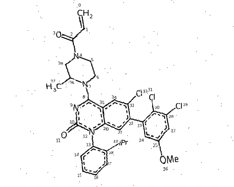 C=CC(=O)N1CCN(c2nc(=O)n(-c3ccccc3C(C)C)c3cc(-c4cc(OC)cc(Cl)c4Cl)c(Cl)cc23)C(C)C1